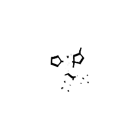 CC(C)(C)C=C(O[Si](C)(C)C)O[Si](C)(C)C.CC1=C[C](C)([Zr]([Cl])([Cl])[CH]2C=CC=C2)C=C1